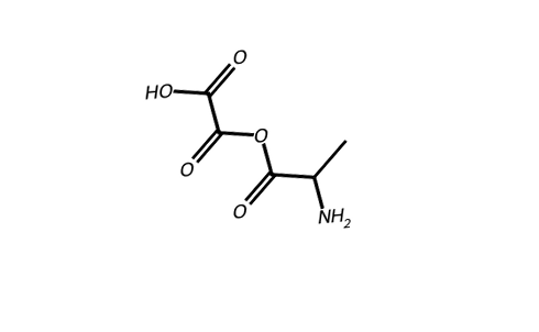 CC(N)C(=O)OC(=O)C(=O)O